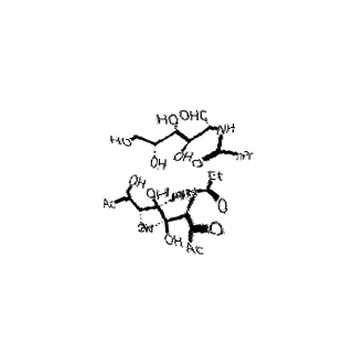 CCC(=O)N[C@@H](C(=O)C(C)=O)[C@](O)(C(C)=O)[C@@](O)(C(C)=O)[C@H](O)C(O)C(C)=O.CCCC(=O)N[C@@H](C=O)[C@@H](O)[C@@H](O)[C@H](O)CO